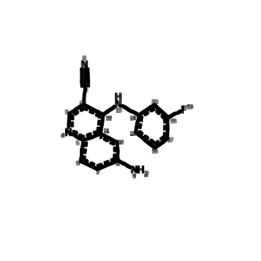 N#Cc1cnc2ccc(N)cc2c1Nc1cccc(F)c1